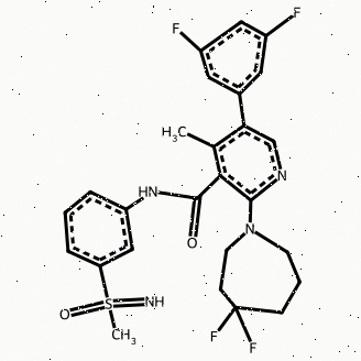 Cc1c(-c2cc(F)cc(F)c2)cnc(N2CCCC(F)(F)CC2)c1C(=O)Nc1cccc(S(C)(=N)=O)c1